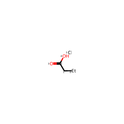 CCCC(=O)O.[C]